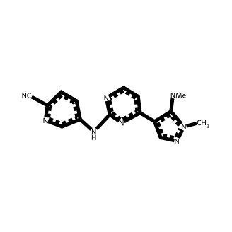 CNc1c(-c2ccnc(Nc3ccc(C#N)nc3)n2)cnn1C